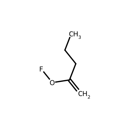 C=C(CCC)OF